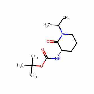 CC(C)N1CCC[C@H](NC(=O)OC(C)(C)C)C1=O